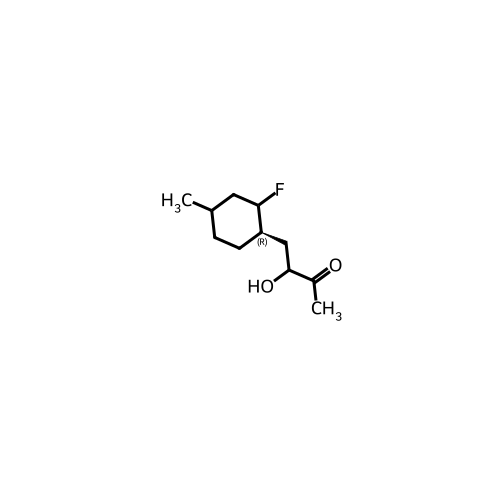 CC(=O)C(O)C[C@H]1CCC(C)CC1F